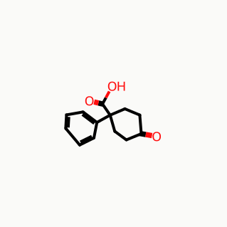 O=C1CCC(C(=O)O)(c2ccccc2)CC1